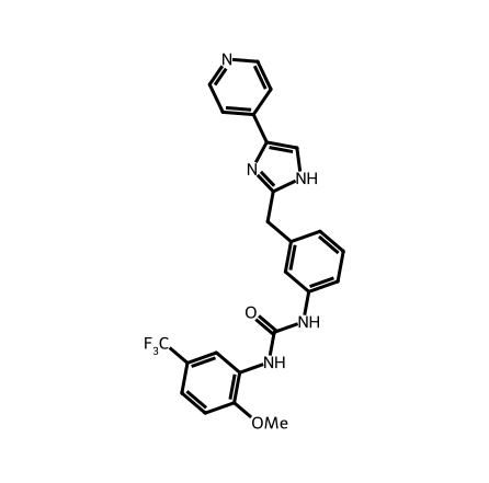 COc1ccc(C(F)(F)F)cc1NC(=O)Nc1cccc(Cc2nc(-c3ccncc3)c[nH]2)c1